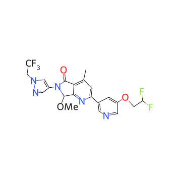 COC1c2nc(-c3cncc(OCC(F)F)c3)cc(C)c2C(=O)N1c1cnn(CC(F)(F)F)c1